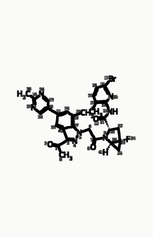 CC(=O)c1nn(CC(=O)N2[C@H](C(=O)Nc3nc(Br)ccc3C)C[C@@]3(F)C[C@@H]23)c2c(C)cc(-c3cnc(C)nc3)cc12